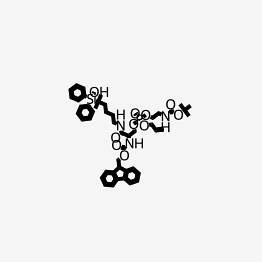 C=CCOP(=O)(OCCNC(=O)OC(C)(C)C)OCC(NC(=O)OCC1c2ccccc2-c2ccccc21)C(=O)NCCCCC(C)(C)[Si](O)(c1ccccc1)c1ccccc1